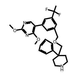 COc1ncc(-c2cc(COCC3(c4ccccc4)CCNCC3)cc(C(C)(F)F)c2)c(OC)n1